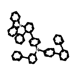 c1ccc(-c2cccc(N(c3ccc(-c4ccccc4-c4ccccc4)cc3)c3ccc(-c4cccc(-n5c6ccccc6c6ccccc65)c4-c4ccccc4)cc3)c2)cc1